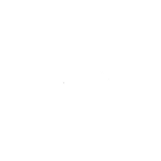 [CH2]S[CH]C